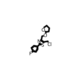 Fc1ccc(-c2nc(COC3CCCCO3)c(CCl)s2)cc1